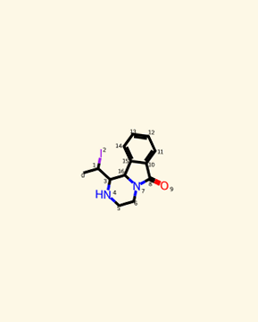 CC(I)C1NCCN2C(=O)c3ccccc3C12